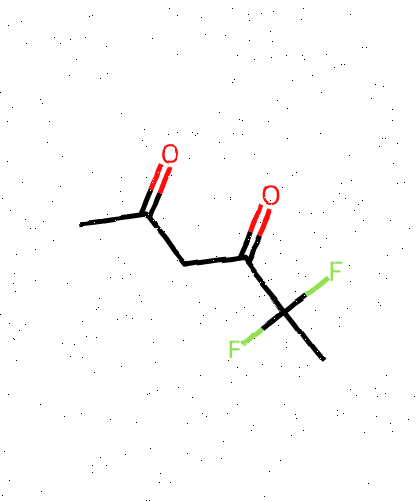 CC(=O)CC(=O)C(C)(F)F